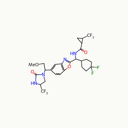 COCC(c1ccc2oc(C(NC(=O)C3CC3C(F)(F)F)C3CCC(F)(F)CC3)nc2c1)N1CC(C(F)(F)F)NC1=O